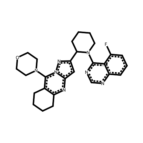 Fc1cccc2ncnc(N3CCCCC3c3cc4nc5c(c(N6CCOCC6)n4n3)CCCC5)c12